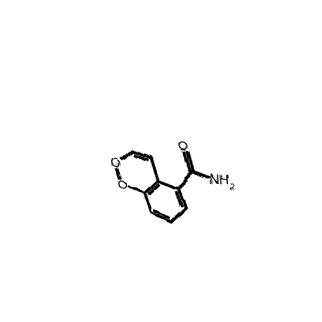 NC(=O)c1cccc2c1C=COO2